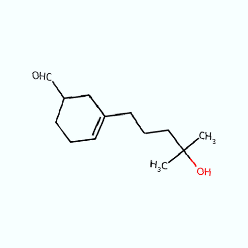 CC(C)(O)CCCC1=CCCC(C=O)C1